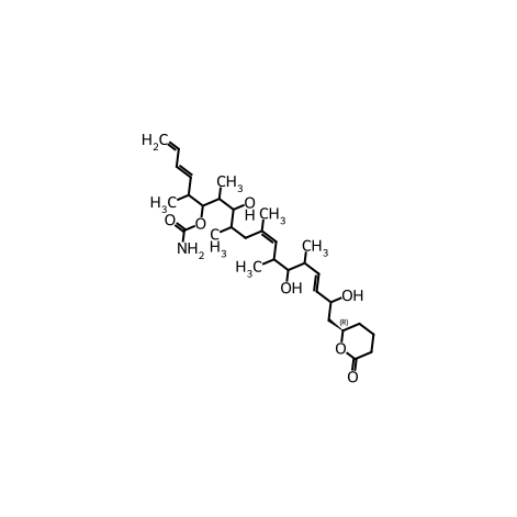 C=CC=CC(C)C(OC(N)=O)C(C)C(O)C(C)CC(C)=CC(C)C(O)C(C)C=CC(O)C[C@H]1CCCC(=O)O1